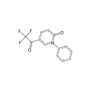 O=C(c1ccc(=O)n(-c2ccccc2)c1)C(F)(F)F